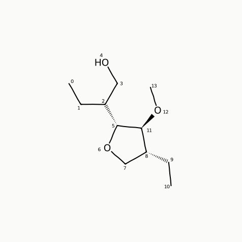 CCC(CO)[C@H]1OC[C@@H](CC)[C@@H]1OC